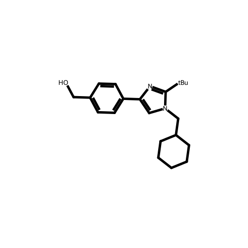 CC(C)(C)c1nc(-c2ccc(CO)cc2)cn1CC1CCCCC1